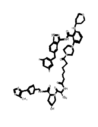 Cc1ncsc1-c1ccc(CNC(=O)[C@@H]2C[C@@H](O)CN2C(=O)[C@@H](NC(=O)CCCCCC(=O)N2CCN(c3cccc(NC4CCOCC4)c3C(=O)Nc3n[nH]c4ccc(Cc5cc(F)cc(F)c5)cc34)CC2)C(C)(C)C)cc1